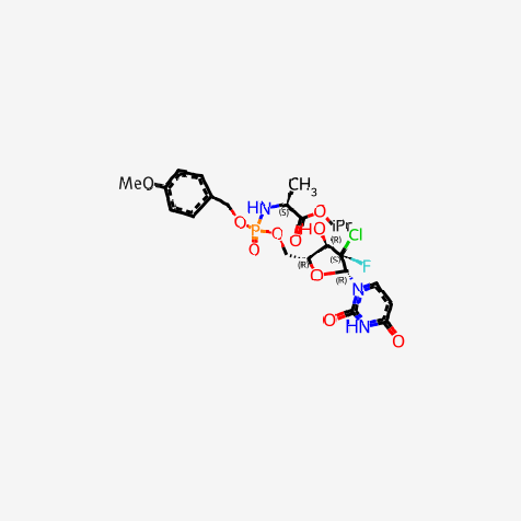 COc1ccc(COP(=O)(N[C@@H](C)C(=O)OC(C)C)OC[C@H]2O[C@@H](n3ccc(=O)[nH]c3=O)[C@@](F)(Cl)[C@@H]2O)cc1